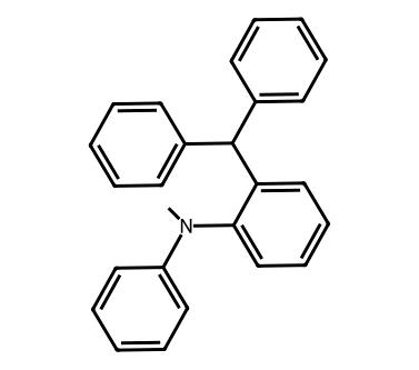 CN(c1ccccc1)c1ccccc1C(c1ccccc1)c1ccccc1